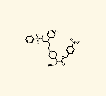 C#CCN(C(=O)OCc1ccc([N+](=O)[O-])cc1)C1CCN(CCC(CN(C)S(=O)(=O)c2ccccc2)c2ccccc2)CC1.Cl